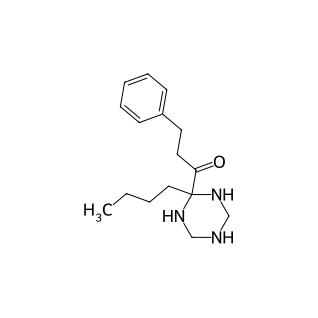 CCCCC1(C(=O)CCc2ccccc2)NCNCN1